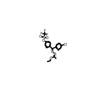 CCO/C(C)=N\N=C(/c1ccc(Cl)cc1)c1ccc(OS(=O)(=O)C(F)(F)F)cc1